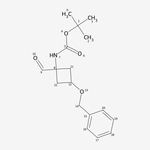 CC(C)(C)OC(=O)NC1(C=O)CC(OCc2ccccc2)C1